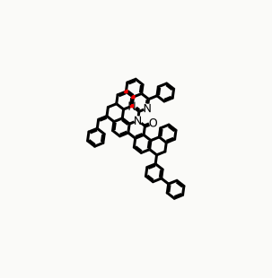 O=c1c2c3c(ccc2c2ccc4c(c2n1-c1nc(-c2ccccc2)c2ccccc2n1)C1C=CC=CC1C/C4=C/c1ccccc1)C(c1cccc(-c2ccccc2)c1)Cc1ccccc1-3